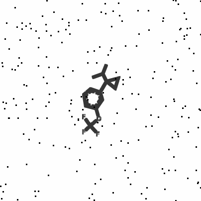 CC(C)C1(c2cccc(OC(F)(F)F)c2)CC1